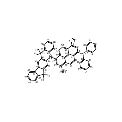 CC(C)c1cc(N(c2ccccc2)c2ccccc2)c2ccc3c(C(C)C)cc(N4c5ccccc5C(C)(C)c5cc6c(cc54)C(C)(C)c4ccccc4-6)c4ccc1c2c34